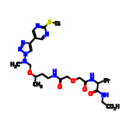 CCSc1ncc(-c2cn(N(C)COC(C)CCNC(=O)COCC(=O)NC(C(=O)NCC(=O)O)C(C)C)nn2)cn1